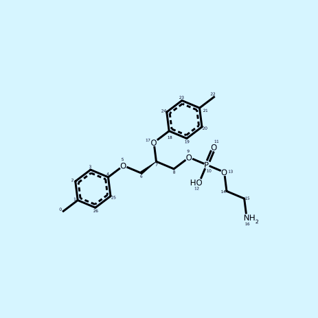 Cc1ccc(OC[C@H](COP(=O)(O)OCCN)Oc2ccc(C)cc2)cc1